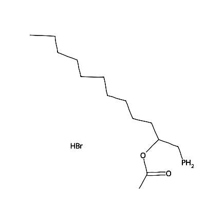 Br.CCCCCCCCCCC(CP)OC(C)=O